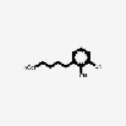 CCCCCCCCCCCCc1cccc(C#N)c1C#N